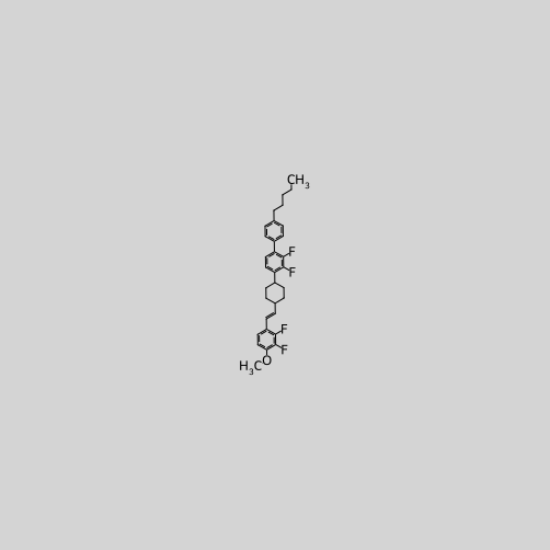 CCCCCc1ccc(-c2ccc(C3CCC(/C=C/c4ccc(OC)c(F)c4F)CC3)c(F)c2F)cc1